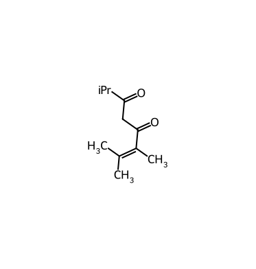 CC(C)=C(C)C(=O)CC(=O)C(C)C